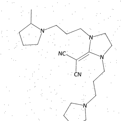 CC1CCCN1CCCN1CCN(CCCN2CCCC2)C1=C(C#N)C#N